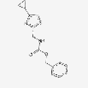 O=C(NCc1nc(C2CC2)cs1)OCc1ccccc1